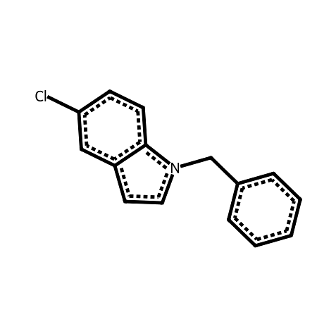 Clc1ccc2c(ccn2Cc2ccccc2)c1